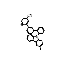 Cc1ccc2c(c1)c1ccccc1n2-c1ccccc1C1C=C(C2=CC(C#N)=CCN2)C=CC1